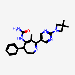 CC1=C(NC(N)=O)C(C2=C=C=CC=C2)CCN=C1c1cnc(N2CC(C)(C)C2)nc1